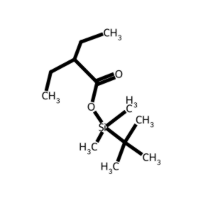 CCC(CC)C(=O)O[Si](C)(C)C(C)(C)C